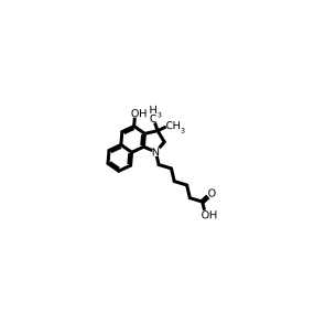 CC1(C)CN(CCCCCC(=O)O)c2c1c(O)cc1ccccc21